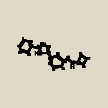 c1ccc(-c2ncc(-c3cccc(CNC4CCC4)c3)[nH]2)cc1